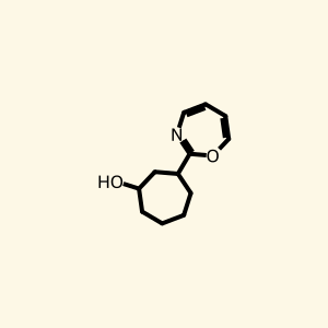 OC1CCCCC(C2=NC=CC=CO2)C1